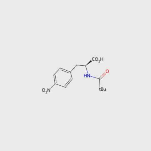 CC(C)(C)C(=O)N[C@@H](Cc1ccc([N+](=O)[O-])cc1)C(=O)O